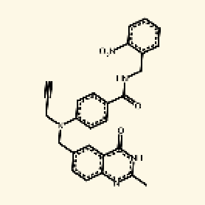 C#CCN(Cc1ccc2nc(C)[nH]c(=O)c2c1)c1ccc(C(=O)NCc2ccccc2[N+](=O)[O-])cc1